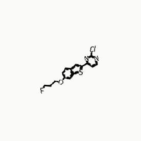 FCCCOc1ccc2cc(-c3ccnc(Cl)n3)sc2c1